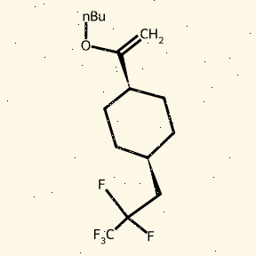 C=C(OCCCC)[C@H]1CC[C@@H](CC(F)(F)C(F)(F)F)CC1